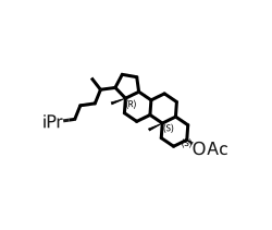 CC(=O)O[C@H]1CC[C@@]2(C)C(CCC3C4CCC(C(C)CCCC(C)C)[C@@]4(C)CCC32)C1